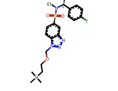 CCN([C@H](c1ccc(F)cc1)C(F)(F)F)S(=O)(=O)c1ccc2c(c1)nnn2COCC[Si](C)(C)C